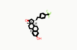 C[C@]12CC[C@@H]3c4ccc(O)cc4CC[C@H]3[C@@H]1[C@@H](CCc1ccc(C(F)(F)F)cc1)CC2=O